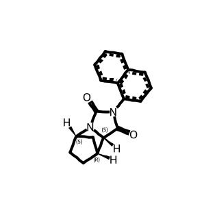 O=C1[C@@H]2[C@@H]3CC[C@@H](C3)N2C(=O)N1c1cccc2ccccc12